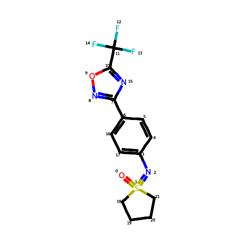 O=S1(=Nc2ccc(-c3noc(C(F)(F)F)n3)cc2)CCCC1